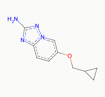 Nc1nc2ccc(OCC3CC3)cn2n1